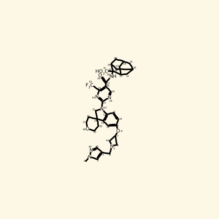 Cn1cc(CN2CC(Oc3ccc4c(c3)C3(CCOCC3)CN4c3ncc(C(=O)NC4(C(=O)O)C5CC6CC(C5)CC4C6)c(C(F)(F)F)n3)C2)cn1